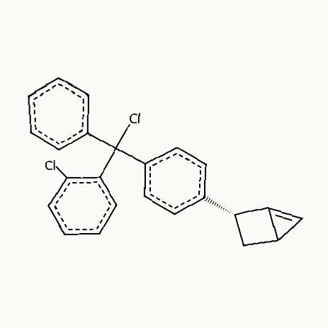 Clc1ccccc1C(Cl)(c1ccccc1)c1ccc([C@H]2CC3C=C32)cc1